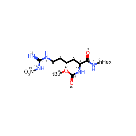 CCCCCCNC(=O)C(CCCCNC(=N)N[N+](=O)[O-])NC(=O)OC(C)(C)C